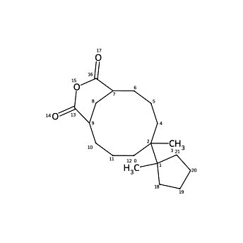 CC1(C2(C)CCCC3CC(CCC2)C(=O)OC3=O)CCCC1